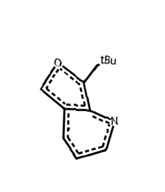 CC(C)(C)c1occ2cccnc12